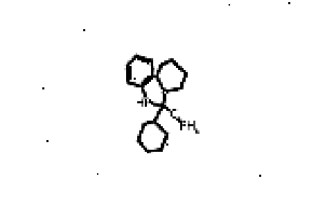 PCC(Pc1ccccc1)([C]1CCCCC1)C1CCCCC1